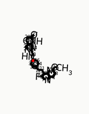 COc1ccc2ncc(F)c(CCC34CCC(NCc5ncc6c(n5)NC(=O)CO6)(CC3)CO4)c2n1